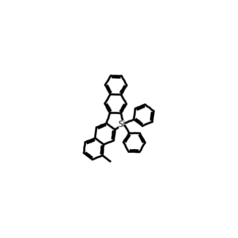 Cc1cccc2cc3c(cc12)[Si](c1ccccc1)(c1ccccc1)c1cc2ccccc2cc1-3